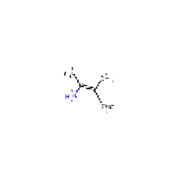 CC(N)=C(C)C=O